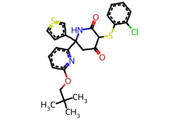 CC(C)(C)COc1cccc(C2(c3ccsc3)CC(=O)C(Sc3ccccc3Cl)C(=O)N2)n1